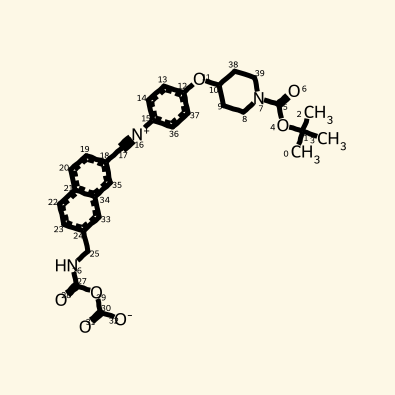 CC(C)(C)OC(=O)N1CCC(Oc2ccc([N+]#Cc3ccc4ccc(CNC(=O)OC(=O)[O-])cc4c3)cc2)CC1